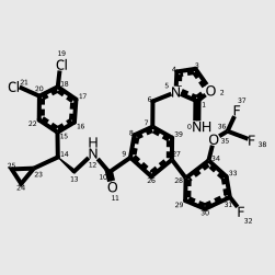 N=c1occn1Cc1cc(C(=O)NC[C@H](c2ccc(Cl)c(Cl)c2)C2CC2)cc(-c2ccc(F)cc2OC(F)F)c1